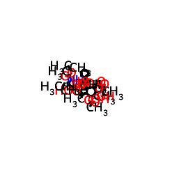 CC(=O)O[C@H]1C2=C(C)[C@@H](OC(=O)C(O)[C@H](CC(C)C)NC(=O)OC(C)(C)C)C[C@@]2(C(C)(C)O)[C@@H](OC(=O)c2ccccc2)[C@H]2[C@@](C)([C@@H](O)CC3OC[C@]32OC(C)=O)[C@H]1O